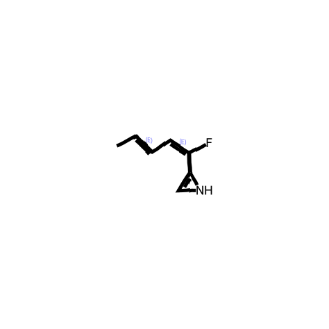 C/C=C/C=C(/F)C1=CN1